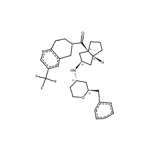 O=C(N1CCc2ncc(C(F)(F)F)cc2C1)[C@@]12CCC[C@@H]1C[C@@H](N[C@H]1CCO[C@H](Cc3ccccc3)C1)C2